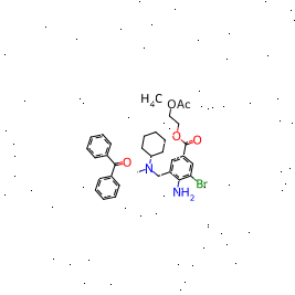 C.CC(=O)OCCOC(=O)c1cc(Br)c(N)c(CN(C)C2CCCCC2)c1.O=C(c1ccccc1)c1ccccc1